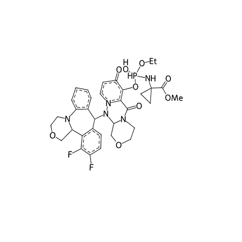 CCO[PH](O)(NC1(C(=O)OC)CC1)Oc1c2n(ccc1=O)N(C1c3ccccc3N3CCOCC3c3c1ccc(F)c3F)C1COCCN1C2=O